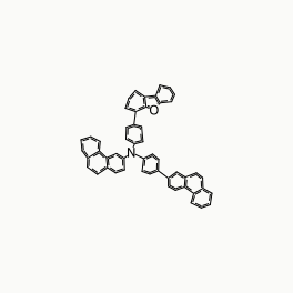 c1ccc2c(c1)ccc1cc(-c3ccc(N(c4ccc(-c5cccc6c5oc5ccccc56)cc4)c4ccc5ccc6ccccc6c5c4)cc3)ccc12